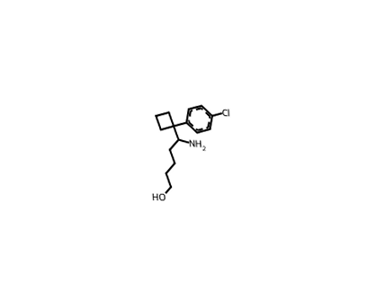 NC(CCCCO)C1(c2ccc(Cl)cc2)CCC1